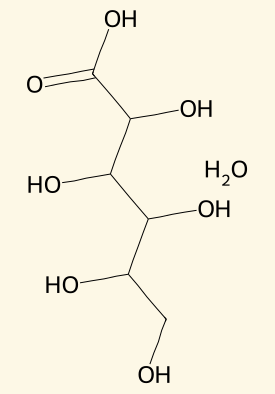 O.O=C(O)C(O)C(O)C(O)C(O)CO